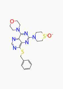 [O-][S+]1CCN(c2nc(N3CCOCC3)c3ncnc(SCc4ccccc4)c3n2)CC1